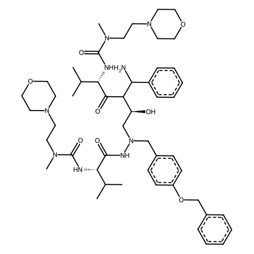 CC(C)[C@H](NC(=O)N(C)CCN1CCOCC1)C(=O)NN(Cc1ccc(OCc2ccccc2)cc1)C[C@H](O)C(C(=O)[C@@H](NC(=O)N(C)CCN1CCOCC1)C(C)C)C(N)c1ccccc1